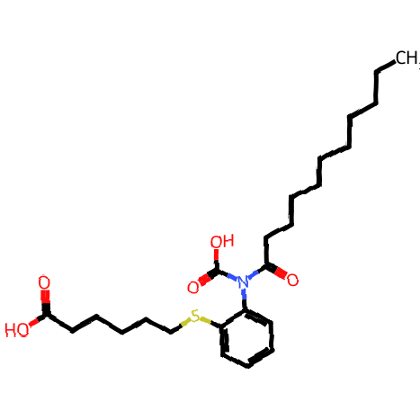 CCCCCCCCCCC(=O)N(C(=O)O)c1ccccc1SCCCCCC(=O)O